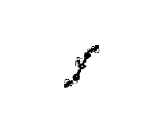 C=CC(=O)OCOc1ccc(C#Cc2ccc(C#Cc3ccc(OCOC(=O)C=C)cc3)c(C(F)(F)F)c2)cc1